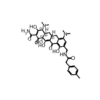 Cc1ccc(CC(=O)NCc2cc(N(C)C)c3c(c2O)C(=O)C2=C(O)[C@]4(O)C(=O)C(C(N)=O)=C(O)[C@@H](N(C)C)[C@H]4C[C@@H]2C3)cc1